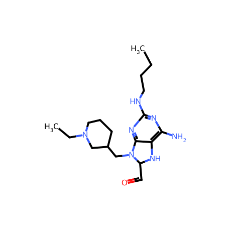 CCCCNc1nc(N)c2c(n1)N(CC1CCCN(CC)C1)C(C=O)N2